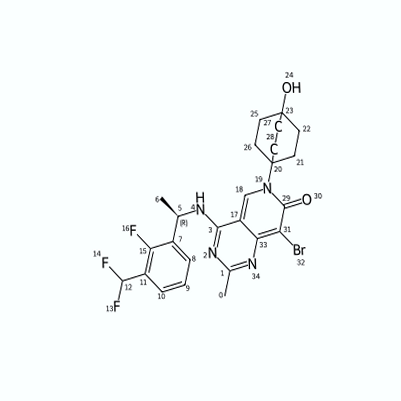 Cc1nc(N[C@H](C)c2cccc(C(F)F)c2F)c2cn(C34CCC(O)(CC3)CC4)c(=O)c(Br)c2n1